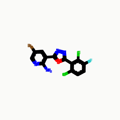 Nc1ncc(Br)cc1-c1nnc(-c2c(Cl)ccc(F)c2Cl)o1